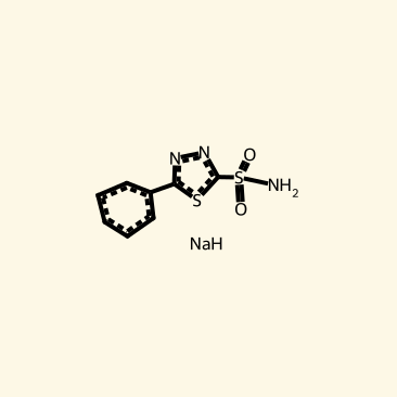 NS(=O)(=O)c1nnc(-c2ccccc2)s1.[NaH]